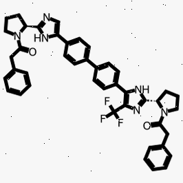 O=C(Cc1ccccc1)N1CCC[C@H]1c1ncc(-c2ccc(-c3ccc(-c4[nH]c([C@@H]5CCCN5C(=O)Cc5ccccc5)nc4C(F)(F)F)cc3)cc2)[nH]1